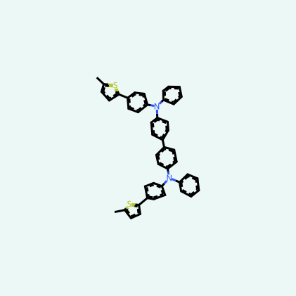 Cc1ccc(-c2ccc(N(c3ccccc3)c3ccc(-c4ccc(N(c5ccccc5)c5ccc(-c6ccc(C)s6)cc5)cc4)cc3)cc2)s1